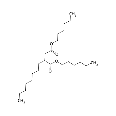 CCCCCCCCC(CC(=O)OCCCCCC)C(=O)OCCCCCC